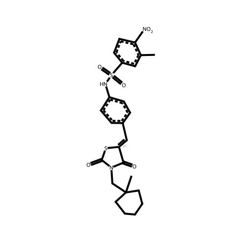 Cc1cc(S(=O)(=O)Nc2ccc(/C=C3\SC(=O)N(CC4(C)CCCCC4)C3=O)cc2)ccc1[N+](=O)[O-]